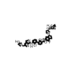 Cc1c(-c2nc3cc4c(c(F)c3o2)CC[C@H]4N2CC[C@@H](C(=O)NS(=O)(=O)C3(C)CC3)C2)cccc1-c1cccc(Nc2nccc3cc(CN4CC[C@@H](O)C4)cnc23)c1Cl